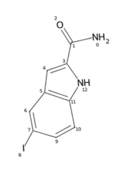 NC(=O)c1cc2cc(I)ccc2[nH]1